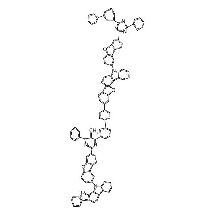 C=C1C(c2cccc(-c3ccc(-c4ccc5c(c4)oc4c5ccc5c4c4ccccc4n5-c4ccc5oc6cc(-c7nc(-c8ccccc8)nc(-c8cccc(-c9ccccc9)c8)n7)ccc6c5c4)cc3)c2)=NC(c2ccc3c(c2)oc2ccc(-n4c5ccccc5c5ccc6c7ccccc7oc6c54)cc23)=NC1c1ccccc1